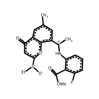 CC[S+]([O-])c1cc(=O)c2cc(C)cc([C@@H](C)Nc3cccc(F)c3C(=O)OC)c2o1